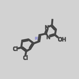 Cc1cc(O)nc(/C=C/c2ccc(Cl)c(Cl)c2)n1